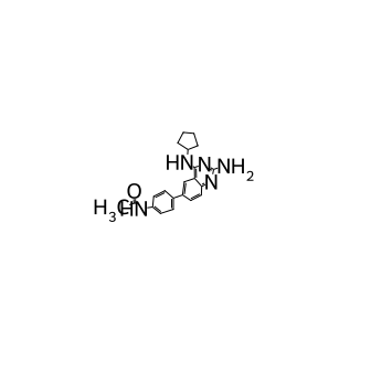 CC(=O)Nc1ccc(-c2ccc3nc(N)nc(NC4CCCC4)c3c2)cc1